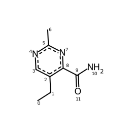 CCc1cnc(C)nc1C(N)=O